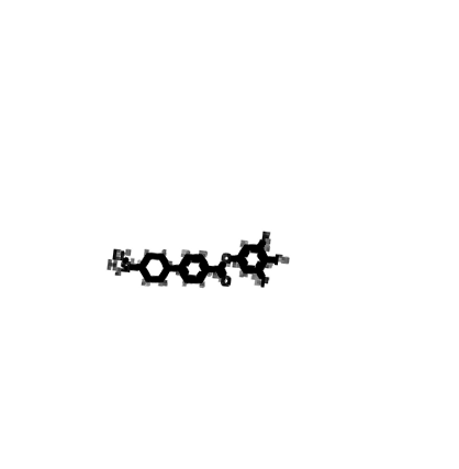 CC[SiH2]C1CCC(c2ccc(C(=O)Oc3cc(F)c(F)c(F)c3)cc2)CC1